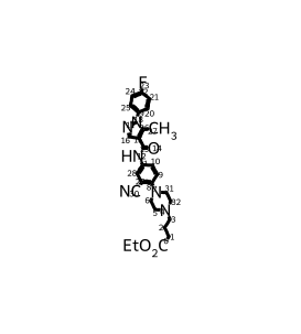 CCOC(=O)CCCN1CCN(c2ccc(NC(=O)c3cnn(-c4ccc(F)cc4)c3C)cc2C#N)CC1